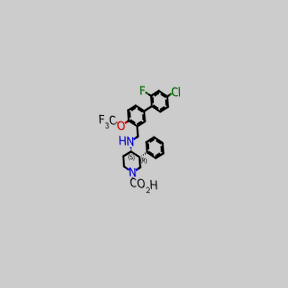 O=C(O)N1CC[C@H](NCc2cc(-c3ccc(Cl)cc3F)ccc2OC(F)(F)F)[C@H](c2ccccc2)C1